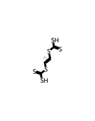 S=C(S)S/C=C/SC(=S)S